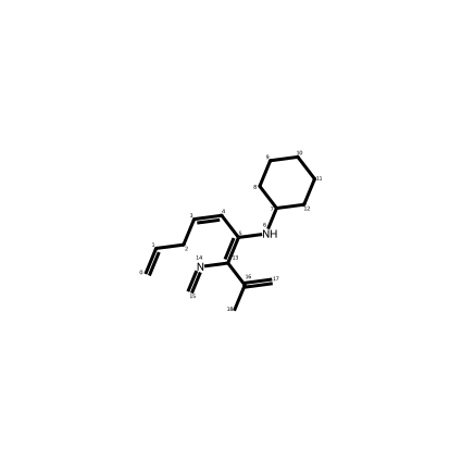 C=CC/C=C\C(NC1CCCCC1)=C(/N=C)C(=C)C